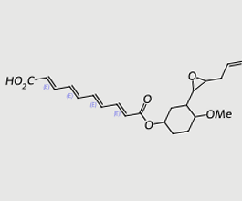 COC1CCC(OC(=O)/C=C/C=C/C=C/C=C/C(=O)O)CC1C1OC1CC=C(C)C